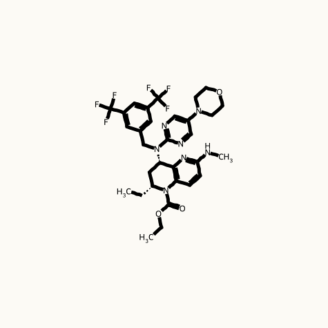 CCOC(=O)N1c2ccc(NC)nc2[C@@H](N(Cc2cc(C(F)(F)F)cc(C(F)(F)F)c2)c2ncc(N3CCOCC3)cn2)C[C@H]1CC